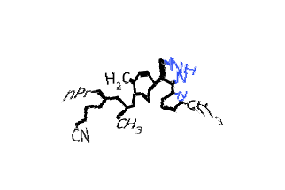 C=C1\C=C/C(c2c[nH]nc2-c2cccc(C)n2)=C/C=C/C1=C/C(=C\C)C/C(=C/CCC)CCCCC#N